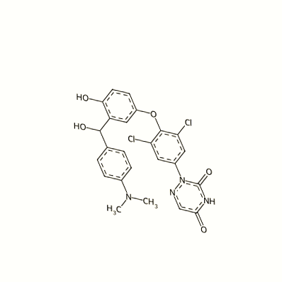 CN(C)c1ccc(C(O)c2cc(Oc3c(Cl)cc(-n4ncc(=O)[nH]c4=O)cc3Cl)ccc2O)cc1